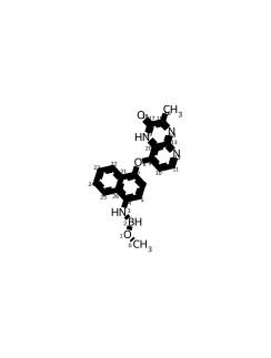 COBNc1ccc(Oc2ccnc3nc(C)c(=O)[nH]c23)c2ccccc12